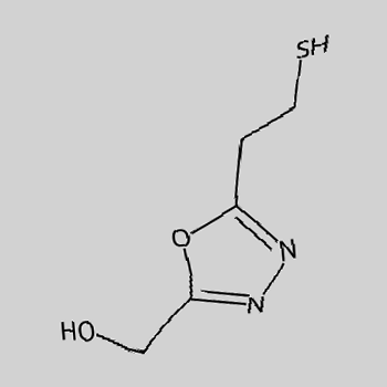 OCc1nnc(CCS)o1